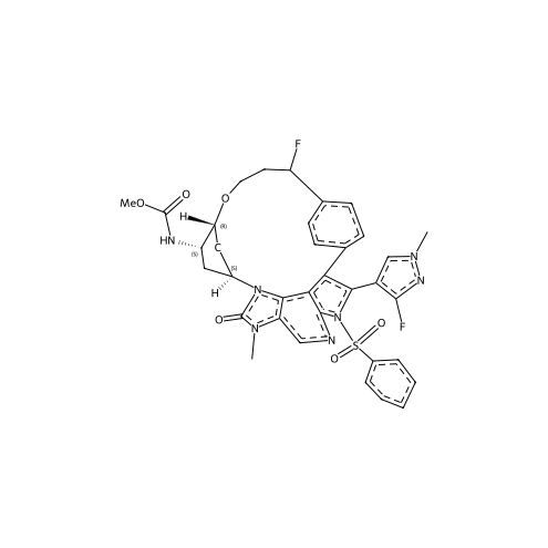 COC(=O)N[C@H]1C[C@H]2C[C@H]1OCCC(F)c1ccc(cc1)-c1c(-c3cn(C)nc3F)n(S(=O)(=O)c3ccccc3)c3ncc4c(c13)n2c(=O)n4C